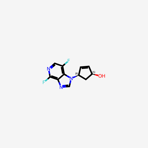 O[C@@H]1C=C[C@H](n2cnc3c(F)ncc(F)c32)C1